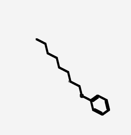 CCCCCC[CH]COc1ccccc1